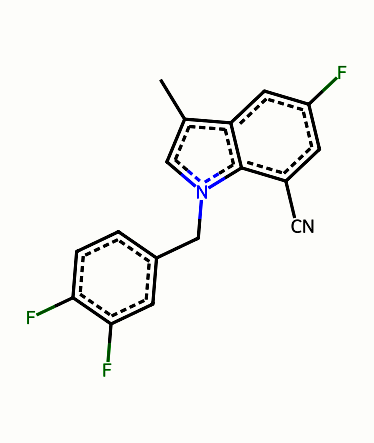 Cc1cn(Cc2ccc(F)c(F)c2)c2c(C#N)cc(F)cc12